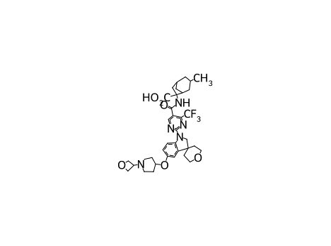 CC1CC2CC(C1)C(NC(=O)c1cnc(N3CC4(CCOCC4)c4cc(OC5CCN(C6COC6)CC5)ccc43)nc1C(F)(F)F)(C(=O)O)C2